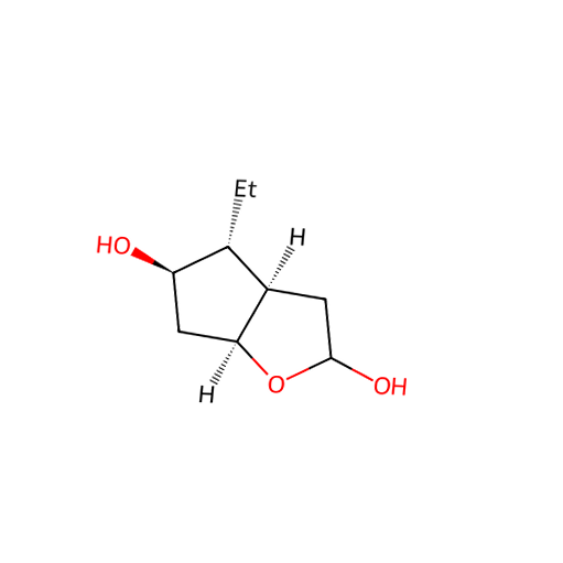 CC[C@@H]1[C@H]2CC(O)O[C@H]2C[C@H]1O